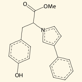 COC(=O)C(Cc1ccc(O)cc1)n1ccc(-c2ccccc2)c1